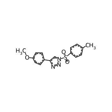 COc1ccc(-c2cn(S(=O)(=O)c3ccc(C)cc3)nn2)cc1